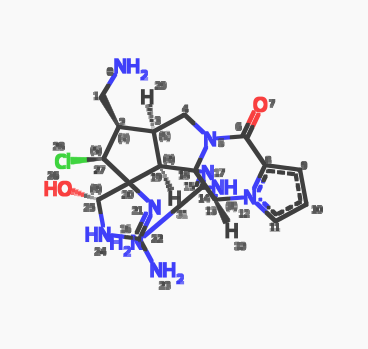 NC[C@H]1[C@H]2CN3C(=O)c4cccn4[C@H]4NC(N)=NC43[C@H]2C2(N=C(N)N[C@@H]2O)[C@H]1Cl